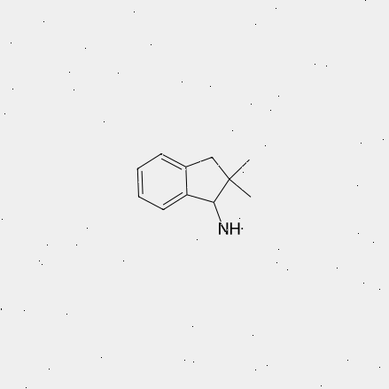 CC1(C)Cc2ccccc2C1[NH]